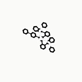 c1ccc(-c2ccc(-c3nc(-c4ccccc4-c4nc5ccccc5n4-c4ccccc4)nc(-c4ccccc4-c4nc5ccccc5n4-c4ccccc4)n3)cc2)cc1